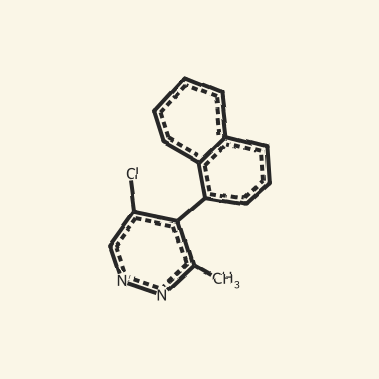 Cc1nncc(Cl)c1-c1cccc2ccccc12